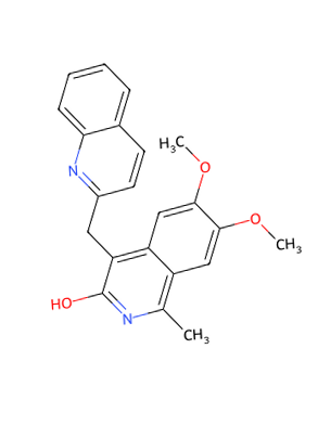 COc1cc2c(C)nc(O)c(Cc3ccc4ccccc4n3)c2cc1OC